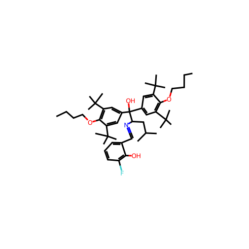 CCCCOc1c(C(C)(C)C)cc(C(O)(c2cc(C(C)(C)C)c(OCCCC)c(C(C)(C)C)c2)C(CC(C)C)N=Cc2cccc(F)c2O)cc1C(C)(C)C